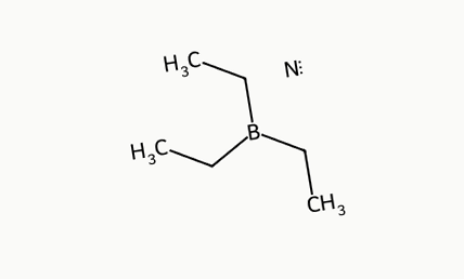 CCB(CC)CC.[N]